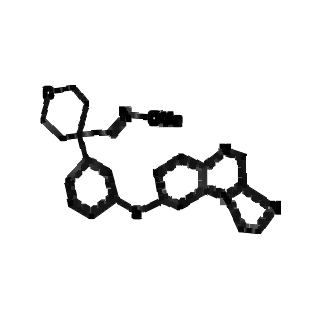 CON=CC1(c2cccc(Sc3ccc4ncc5nccn5c4c3)c2)CCOCC1